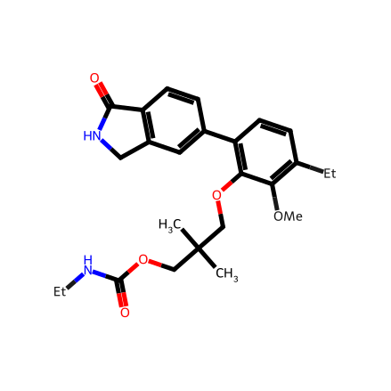 CCNC(=O)OCC(C)(C)COc1c(-c2ccc3c(c2)CNC3=O)ccc(CC)c1OC